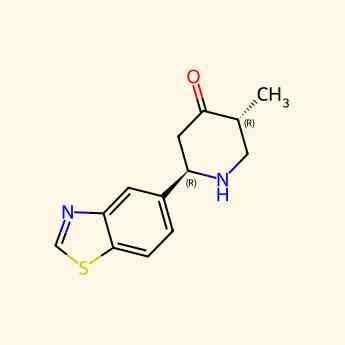 C[C@@H]1CN[C@@H](c2ccc3scnc3c2)CC1=O